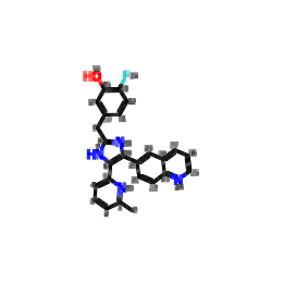 Cc1cccc(-c2[nH]c(Cc3ccc(F)c(O)c3)nc2-c2ccc3ncccc3c2)n1